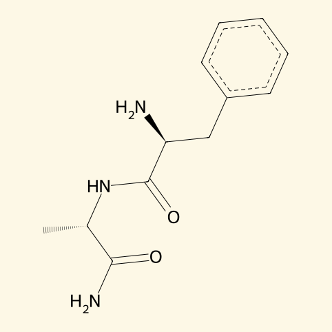 C[C@H](NC(=O)[C@@H](N)Cc1ccccc1)C(N)=O